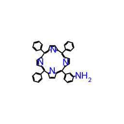 Nc1cccc(C2=C3C=CC(=N3)C(c3ccccc3)=C3C=CC(=N3)C(c3ccccc3)=C3C=CC(=N3)C(c3ccccc3)=C3C=CC2=N3)c1